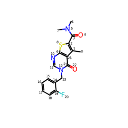 Cc1c(C(=O)N(C)C)sc2ncn(Cc3ccccc3F)c(=O)c12